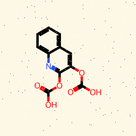 O=C(O)Oc1cc2ccccc2nc1OC(=O)O